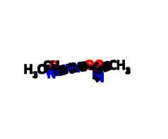 CCC(C)n1ncn(-c2ccc(N3CCN(c4ccc(OCC5COC(Cn6nccn6)(c6ccc(C)cc6)O5)cc4)CC3)cc2)c1=O